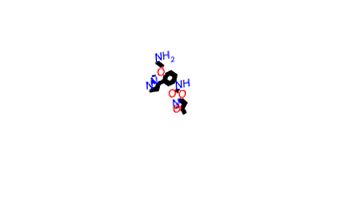 Cc1cc(OC(=O)Nc2ccc(OCCN)c(-c3ccnn3C)c2)no1